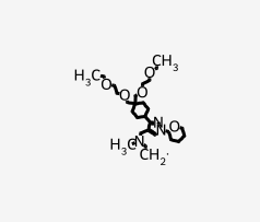 [CH2]CN(C)Cc1cn(C2CCCCO2)nc1C1CCC(COCCOCC)(COCCOCC)CC1